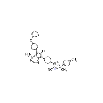 CN1CCN(C(C)(C)/C=C(/C#N)C(=O)N2CCC(n3c(=O)n(-c4ccc(Oc5ccccc5)cc4)c4c(N)ncnc43)CC2)CC1